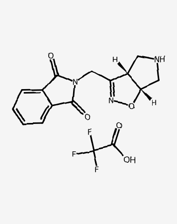 O=C(O)C(F)(F)F.O=C1c2ccccc2C(=O)N1CC1=NO[C@H]2CNC[C@@H]12